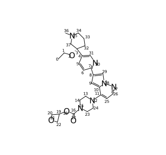 CCO[C@@]1(c2ccc(-c3cc4c(N5CCN(C(=O)OC6COC6)CC5)ccnn4c3)nc2)CCCN(C)C1